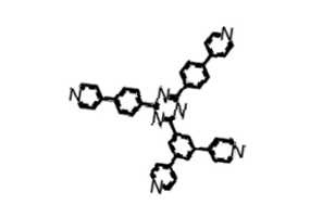 c1cc(-c2ccc(-c3nc(-c4ccc(-c5ccncc5)cc4)nc(-c4cc(-c5ccncc5)cc(-c5ccncc5)c4)n3)cc2)ccn1